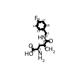 C=C(C[C@H](N)C(=O)O)C(=O)NCc1ccc(F)cc1